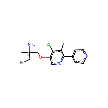 Cc1c(-c2ccncc2)ncc(OC[C@@](C)(N)CC(C)C)c1Cl